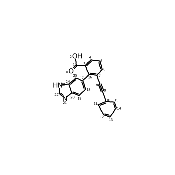 O=C(O)c1cccc(C#Cc2ccccc2)c1-c1ccc2nc[nH]c2c1